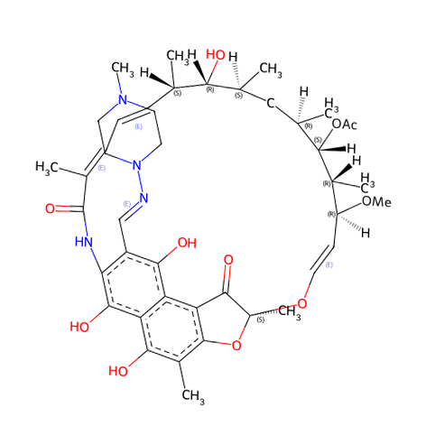 CO[C@H]1/C=C/O[C@@]2(C)Oc3c(C)c(O)c4c(O)c(c(/C=N/N5CCN(C)CC5)c(O)c4c3C2=O)NC(=O)/C(C)=C/C=C/[C@H](C)[C@H](O)[C@@H](C)C[C@@H](C)[C@H](OC(C)=O)[C@@H]1C